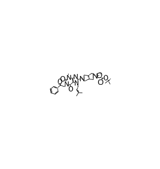 CC(C)=CCn1c(N2CC3CN(OC(=O)OC(C)(C)C)CC3C2)nc2c1c(=O)n(CC(=O)c1ccccc1)c(=O)n2C